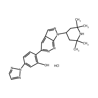 CC1(C)CC(n2ncc3cc(-c4ccc(-n5nccn5)cc4O)nnc32)CC(C)(C)N1.Cl